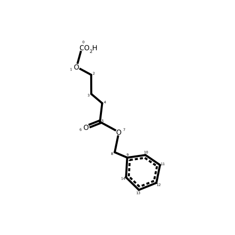 O=C(O)OCCCC(=O)OCc1ccccc1